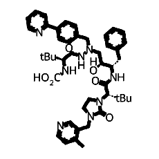 Cc1ccncc1CN1CCN([C@H](C(=O)N[C@@H](Cc2ccccc2)[C@@H](O)CN(Cc2ccc(-c3ccccn3)cc2)NC(=O)[C@@H](NC(=O)O)C(C)(C)C)C(C)(C)C)C1=O